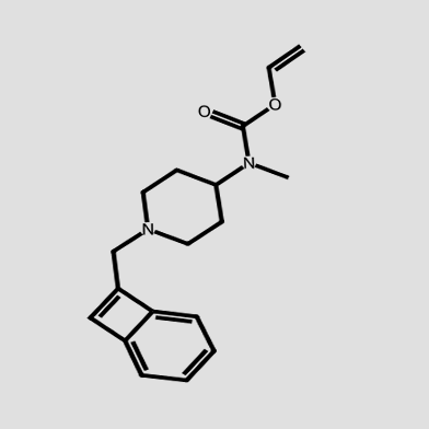 C=COC(=O)N(C)C1CCN(CC2=Cc3ccccc32)CC1